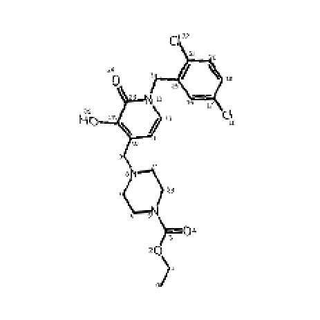 CCOC(=O)N1CCN(Cc2ccn(Cc3cc(Cl)ccc3Cl)c(=O)c2O)CC1